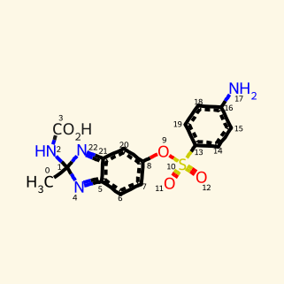 CC1(NC(=O)O)N=c2ccc(OS(=O)(=O)c3ccc(N)cc3)cc2=N1